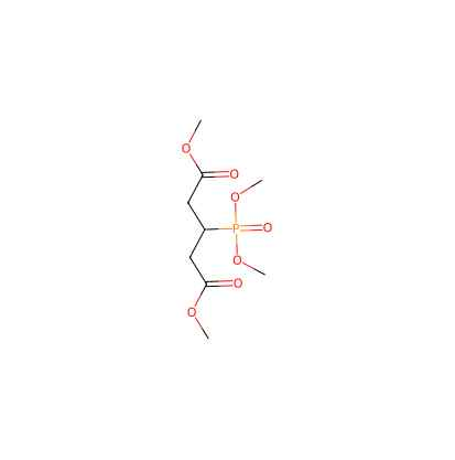 COC(=O)CC(CC(=O)OC)P(=O)(OC)OC